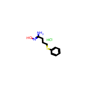 Cl.NC(CCCSc1ccccc1)=NO